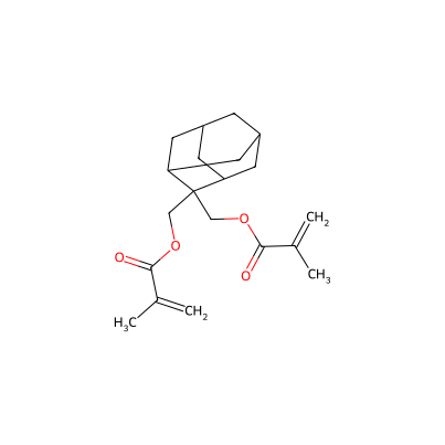 C=C(C)C(=O)OCC1(COC(=O)C(=C)C)C2CC3CC(C2)CC1C3